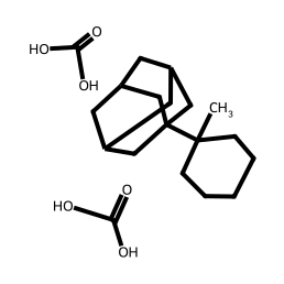 CC1(C23CC4CC(CC(C4)C2)C3)CCCCC1.O=C(O)O.O=C(O)O